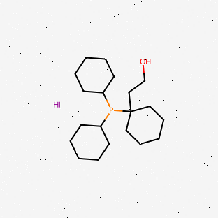 I.OCCC1(P(C2CCCCC2)C2CCCCC2)CCCCC1